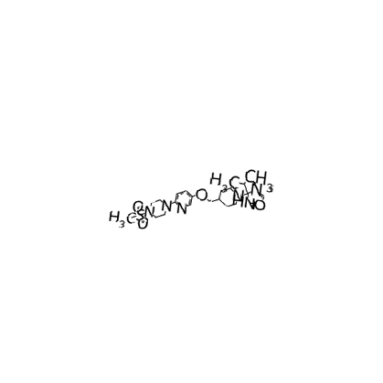 CC(C)C1(N2CCC(COc3ccc(N4CCN(S(C)(=O)=O)CC4)nc3)CC2)N=CON1